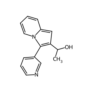 CC(O)c1cc2ccccn2c1-c1cccnc1